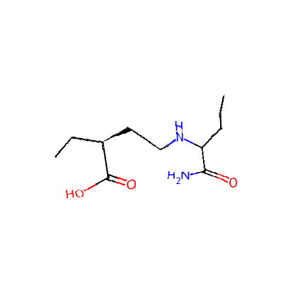 CCC(NCC[C@H](CC)C(=O)O)C(N)=O